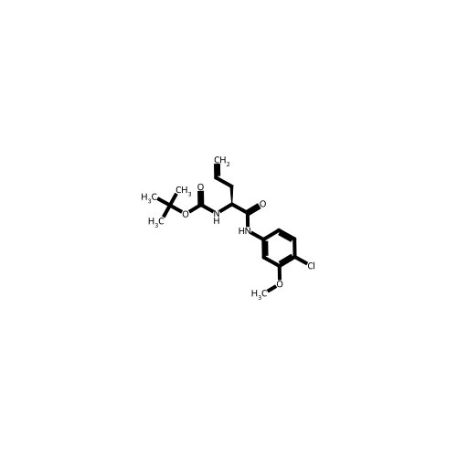 C=CC[C@H](NC(=O)OC(C)(C)C)C(=O)Nc1ccc(Cl)c(OC)c1